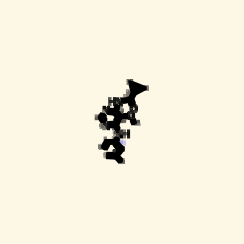 C=C/C(=C\C(=C)C)Nc1ncnc(NC(=O)C2CC2)c1OC